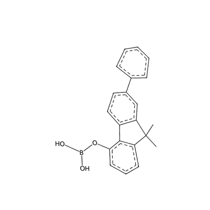 CC1(C)c2cc(-c3ccccc3)ccc2-c2c(OB(O)O)cccc21